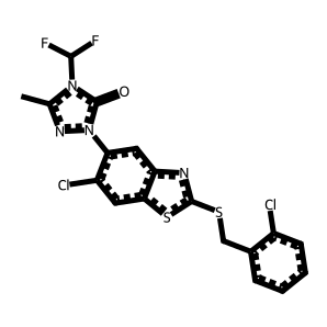 Cc1nn(-c2cc3nc(SCc4ccccc4Cl)sc3cc2Cl)c(=O)n1C(F)F